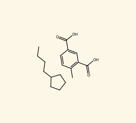 CCCCC1CCCC1.Cc1ccc(C(=O)O)cc1C(=O)O